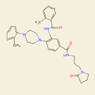 Cc1ccccc1N1CCN(c2ccc(C(=O)NCCCN3CCCC3=O)cc2NC(=O)c2ccccc2C(F)(F)F)CC1